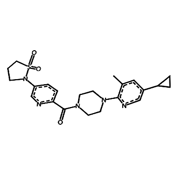 Cc1cc(C2CC2)cnc1N1CCN(C(=O)c2ccc(N3CCCS3(=O)=O)cn2)CC1